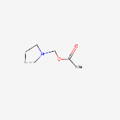 CC(C)(C)C(=O)OCN1CCCC1